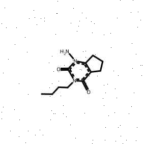 CCCCn1c(=O)c2c(n(N)c1=O)CCC2